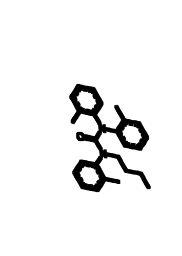 CCCCN(C(=O)N(c1ccccc1C)c1ccccc1C)c1ccccc1C